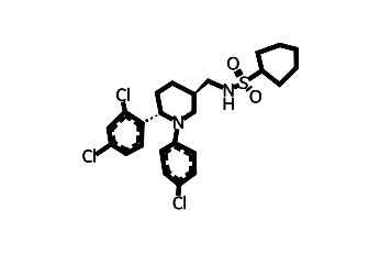 O=S(=O)(NC[C@@H]1CC[C@@H](c2ccc(Cl)cc2Cl)N(c2ccc(Cl)cc2)C1)C1CCCCC1